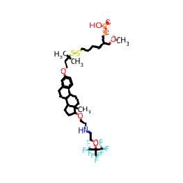 COCC(CCCCSSC(C)(C)CCOc1ccc2c(c1)CCC1C2CCC2(C)C(OCCNCCOC(C(F)(F)F)(C(F)(F)F)C(F)(F)F)CCC12)CO[PH](=O)O